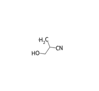 [CH2]C(C#N)CO